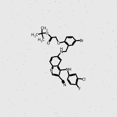 CC(C)(C)OC(=O)COc1ccc(Br)cc1CNc1ccc2ncc(C#N)c(Nc3ccc(F)c(Cl)c3)c2c1